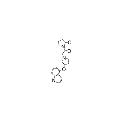 O=C1CCCN1C(=O)CN1CC[C@H](Oc2cccc3ncccc23)C1